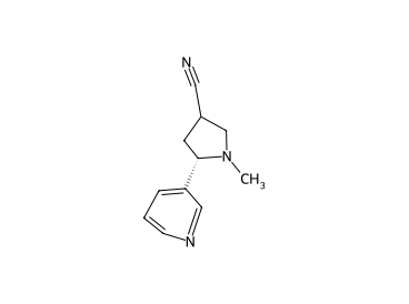 CN1CC(C#N)C[C@H]1c1cccnc1